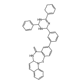 C=C1NC2C=Cc3ccccc3N2Sc2ccc(-c3cccc(C4N=C(C5=CC=CCC5)NC(c5ccccc5)N4)c3)cc21